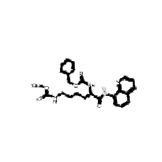 CC(C)(C)OC(=O)NCCCCC(NC(=O)OCc1ccccc1)C(=O)Nc1cccc2cccnc12